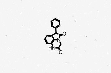 O=C1CN2C(=O)C(c3ccccc3)c3cccc(c32)N1